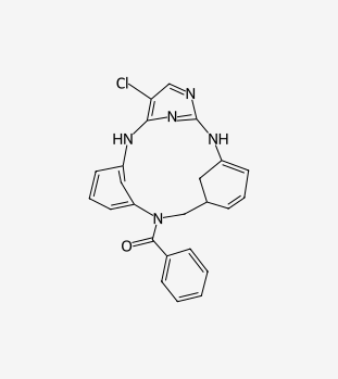 O=C(c1ccccc1)N1CC2C=CC=C(C2)Nc2ncc(Cl)c(n2)Nc2cccc1c2